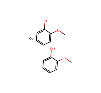 COc1ccccc1O.COc1ccccc1O.[Co]